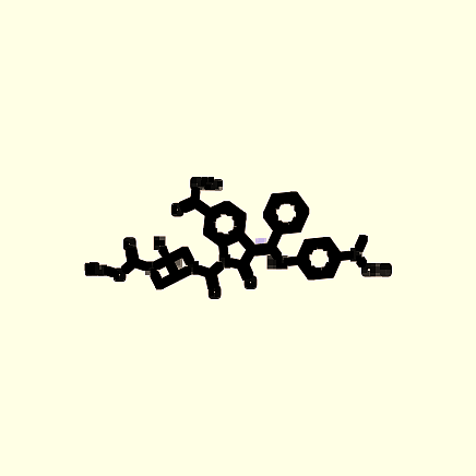 COC(=O)c1ccc2c(c1)N(C(=O)N1C[C@@H]3C1CN3C(=O)OC(C)(C)C)C(=O)/C2=C(\Nc1ccc(N(C)C=O)cc1)c1ccccc1